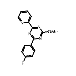 COc1nc(-c2ccc(F)cc2)nc(-c2ccccn2)n1